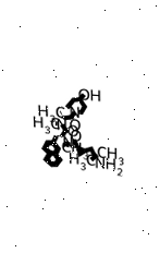 C[C@H](C(=O)N1CCC(O)CC1)N(C)C(=O)[C@@H](Cc1ccc2ccccc2c1)N(C)C(=O)C1CC1CC(C)(C)N